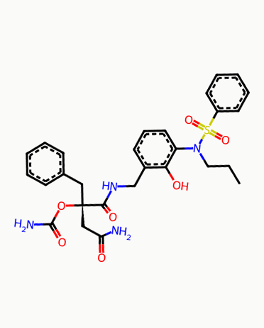 CCCN(c1cccc(CNC(=O)[C@@](CC(N)=O)(Cc2ccccc2)OC(N)=O)c1O)S(=O)(=O)c1ccccc1